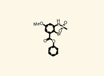 COc1cc(NS(C)(=O)=O)c(Br)c(C(=O)Oc2ccccc2)c1